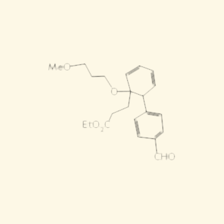 CCOC(=O)CCC1(OCCCOC)C=CC=CC1c1ccc(C=O)cc1